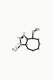 CCOC1CCCCCC2C1N=NN2C